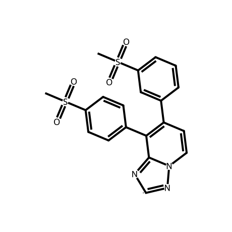 CS(=O)(=O)c1ccc(-c2c(-c3cccc(S(C)(=O)=O)c3)ccn3n[c]nc23)cc1